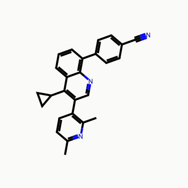 Cc1ccc(-c2cnc3c(-c4ccc(C#N)cc4)cccc3c2C2CC2)c(C)n1